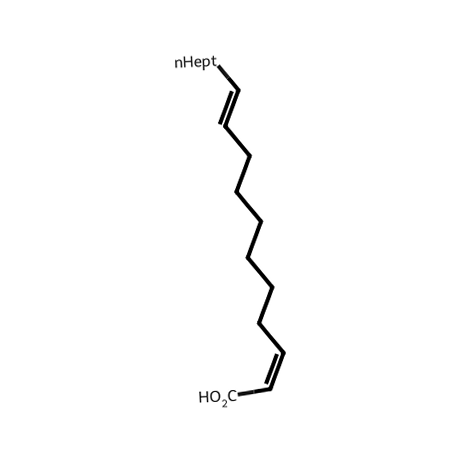 CCCCCCCC=CCCCCCC/C=C\C(=O)O